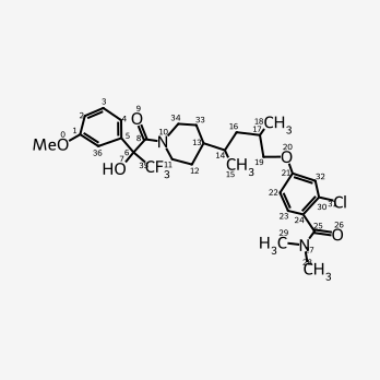 COc1cccc(C(O)(C(=O)N2CCC(C(C)CC(C)COc3ccc(C(=O)N(C)C)c(Cl)c3)CC2)C(F)(F)F)c1